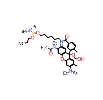 CCN(C(=O)C(F)(F)F)c1ccc2c(c1)Oc1cc(N(CC)C(C)=O)c(C)cc1C2(OCO)c1cc(C(=O)NCCCCCCOP(OCCC#N)N(C(C)C)C(C)C)ccc1C